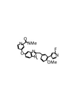 CNC(=O)c1cc(Oc2ccc3c(c2)nc(Cc2ccc(OC)c(-c4ccnc(F)c4)c2)n3C)ccn1